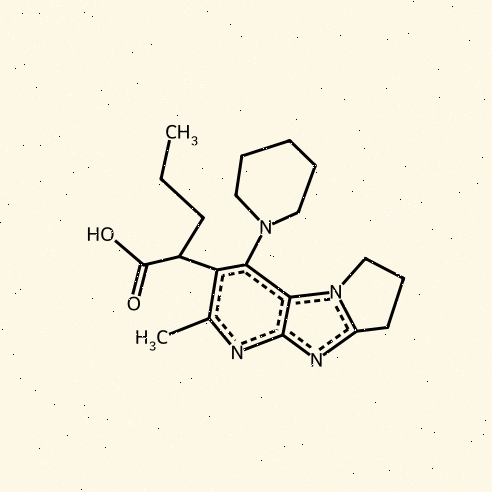 CCCC(C(=O)O)c1c(C)nc2nc3n(c2c1N1CCCCC1)CCC3